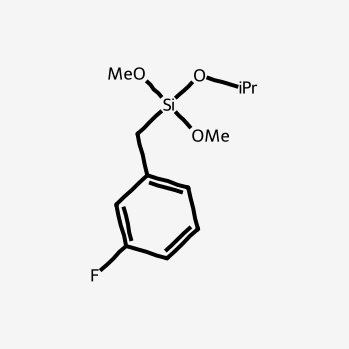 CO[Si](Cc1cccc(F)c1)(OC)OC(C)C